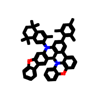 Cc1cc(C)c(-c2cc3c4c(c2)N(c2cc5c(cc2C)C(C)(C)CCC5(C)C)c2cc5oc6ccccc6c5cc2B4N2c4ccccc4Oc4cccc-3c42)c(C)c1